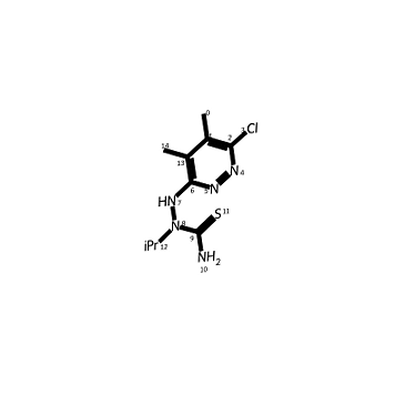 Cc1c(Cl)nnc(NN(C(N)=S)C(C)C)c1C